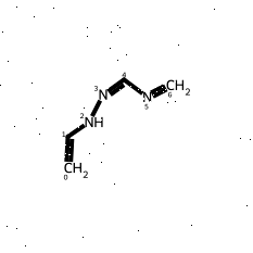 C=CN/N=C\N=C